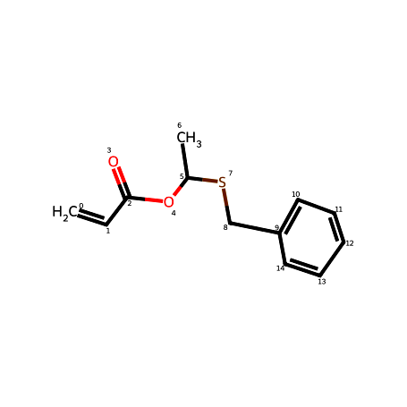 C=CC(=O)OC(C)SCc1ccccc1